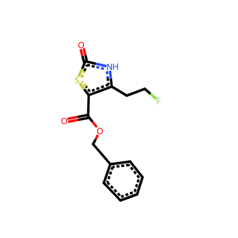 O=C(OCc1ccccc1)c1sc(=O)[nH]c1CCF